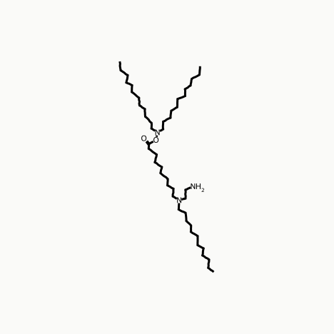 CCCCCCCCCCCCN(CCN)CCCCCCCCCC(=O)ON(CCCCCCCCCCCC)CCCCCCCCCCCC